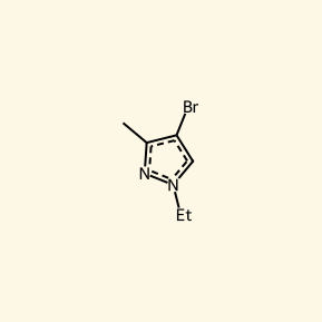 CCn1cc(Br)c(C)n1